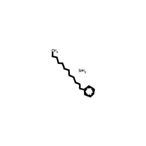 CCCCCCCCCCCCc1ccccc1.[SrH2]